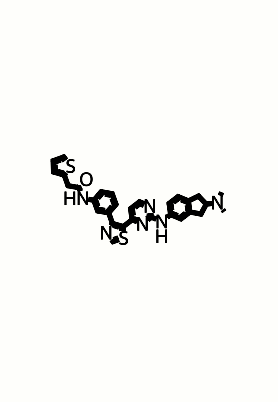 CN(C)C1Cc2ccc(Nc3nccc(-c4scnc4-c4cccc(NC(=O)Cc5cccs5)c4)n3)cc2C1